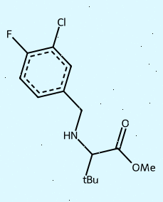 COC(=O)C(NCc1ccc(F)c(Cl)c1)C(C)(C)C